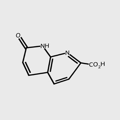 O=C(O)c1ccc2ccc(=O)[nH]c2n1